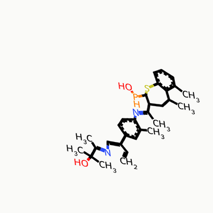 C=C/C(=C\N=C(/C)C(C)(C)O)c1ccc(/N=C(\C)C2CC(C)c3c(C)cccc3SC2PO)c(C)c1